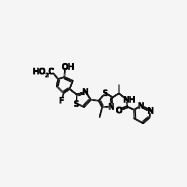 Cc1nc(C(C)NC(=O)c2cccnn2)sc1-c1csc(-c2cc(O)c(C(=O)O)cc2F)n1